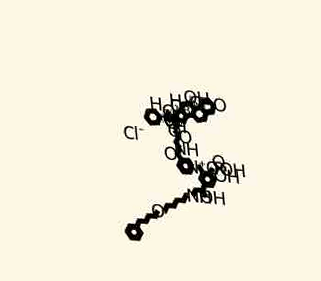 C[C@]12C=CC(=O)C=C1CCC1C2[C@@H](O)C[C@@]2(C)C1C[C@@H]1O[C@@H](C3CCCCC3)O[C@]12C(=O)COC(=O)CNC(=O)c1ccc[n+](Cc2cc(C(O)CNCCCCCCOCCCCc3ccccc3)ccc2OP(=O)(O)O)c1.[Cl-]